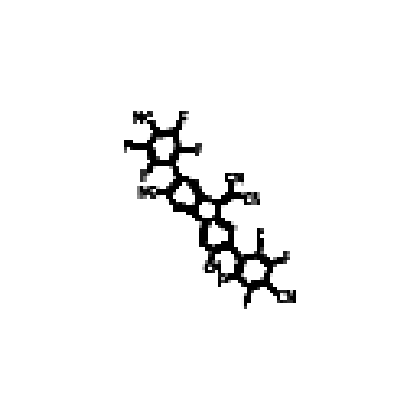 N#CC(C#N)=C1c2cc(-c3c(F)c(F)c(C#N)c(F)c3F)c(C#N)cc2-c2cc(C#N)c(-c3c(F)c(F)c(C#N)c(F)c3F)cc21